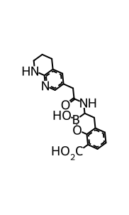 O=C(Cc1cnc2c(c1)CCCN2)NC1Cc2cccc(C(=O)O)c2OB1O